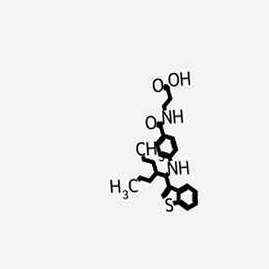 CCCC(CCC)C(Nc1ccc(C(=O)NCCC(=O)O)cc1)c1csc2ccccc12